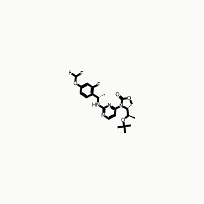 C[C@H](Nc1nccc(N2C(=O)OC[C@@H]2[C@@H](C)OC(C)(C)C)n1)c1ccc(OC(F)F)cc1F